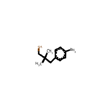 Bc1ccc(CC(C)(C)CS)cc1